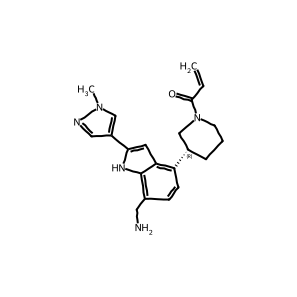 C=CC(=O)N1CCC[C@H](c2ccc(CN)c3[nH]c(-c4cnn(C)c4)cc23)C1